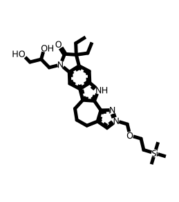 CCC1(CC)C(=O)N(CC(O)CO)c2cc3c4c([nH]c3cc21)-c1nn(COCC[Si](C)(C)C)cc1CCC4